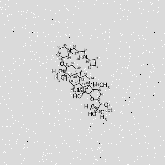 CCO[C@@H](C1C[C@@H](C)[C@H]2C(O1)[C@H](O)[C@@]1(C)C3CC[C@H]4C(C)(C)[C@@H](O[C@H]5CN(CC6CN(C7CCC7)C6)CCO5)CC[C@@]45C[C@@]35CC[C@]21C)C(C)(C)O